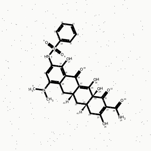 CN(C)c1cc(NS(=O)(=O)c2ccccc2)c(O)c2c1C[C@H]1C[C@H]3CC(O)=C(C(N)=O)C(=O)[C@@]3(O)C(O)=C1C2=O